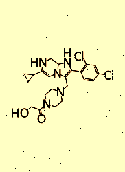 O=C(CO)N1CCN(CC2=C(c3ccc(Cl)cc3Cl)NC3CNC(C4CC4)=CN23)CC1